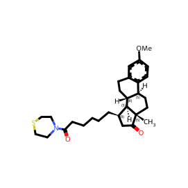 COc1ccc2c(c1)CC[C@H]1[C@@H]3[C@H](CCCCCC(=O)N4CCSCC4)CC(=O)[C@@]3(C)CC[C@H]21